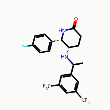 CC(N[C@H]1CCC(=O)N[C@H]1c1ccc(F)cc1)c1cc(C(F)(F)F)cc(C(F)(F)F)c1